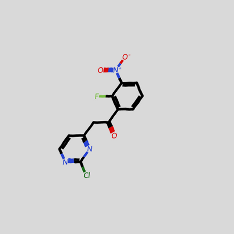 O=C(Cc1ccnc(Cl)n1)c1cccc([N+](=O)[O-])c1F